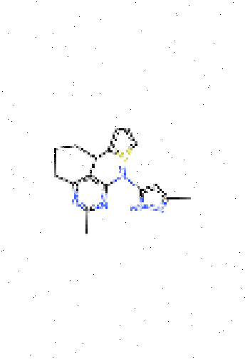 Cc1cc(Nc2nc(C)nc3c2C(c2cccs2)CCC3)[nH]n1